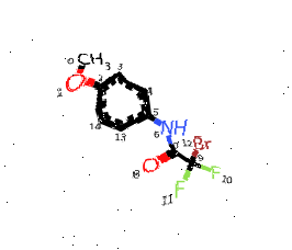 COc1ccc(NC(=O)C(F)(F)Br)cc1